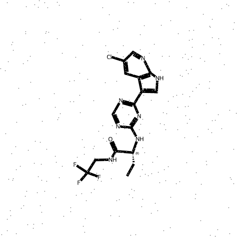 CC[C@@H](Nc1ncnc(-c2c[nH]c3ncc(Cl)cc23)n1)C(=O)NCC(F)(F)F